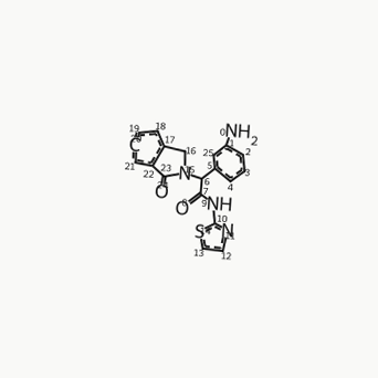 Nc1cccc(C(C(=O)Nc2nccs2)N2Cc3ccccc3C2=O)c1